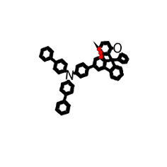 c1ccc(-c2ccc(N(c3ccc(-c4ccccc4)cc3)c3ccc(-c4ccc5c(c4)-c4ccccc4C54c5ccccc5Oc5ccc6ccccc6c54)cc3)cc2)cc1